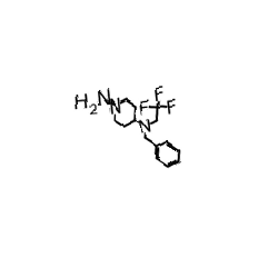 NN1CCC(N(Cc2ccccc2)CC(F)(F)F)CC1